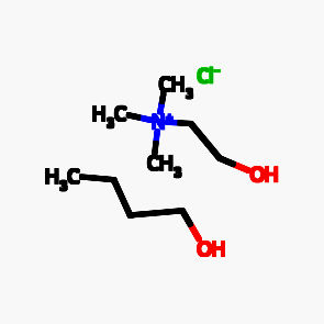 CCCCO.C[N+](C)(C)CCO.[Cl-]